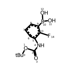 CC(C)(C)OC(=O)Nc1cccc(B(O)O)c1F